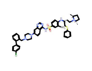 C[C@H]1CC[C@H](C)N1CC[C@H](CSc1ccccc1)Nc1ccc(S(=O)(=O)Nc2ncnc3cc(N4CCN(Cc5ccccc5-c5ccc(Cl)cc5)CC4)ccc23)cc1[N+](=O)[O-]